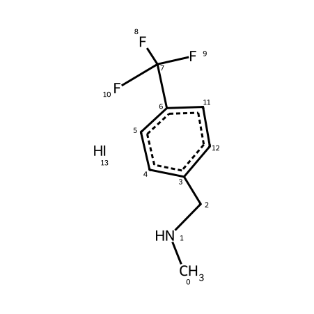 CNCc1ccc(C(F)(F)F)cc1.I